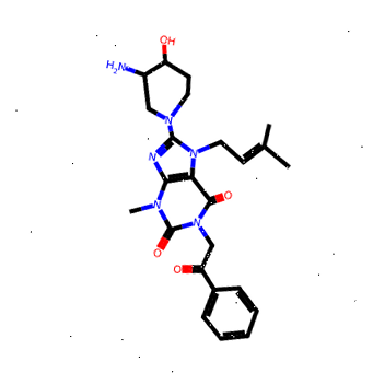 CC(C)=CCn1c(N2CCC(O)C(N)C2)nc2c1c(=O)n(CC(=O)c1ccccc1)c(=O)n2C